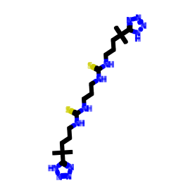 CC(C)(CCCNC(=S)NCCCNC(=S)NCCCC(C)(C)c1nnn[nH]1)c1nnn[nH]1